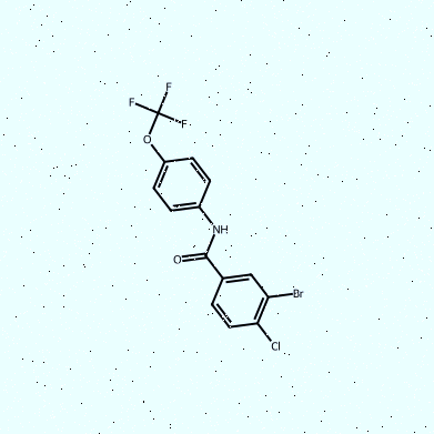 O=C(Nc1ccc(OC(F)(F)F)cc1)c1ccc(Cl)c(Br)c1